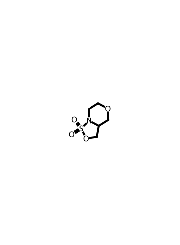 O=S1(=O)OCC2COCCN21